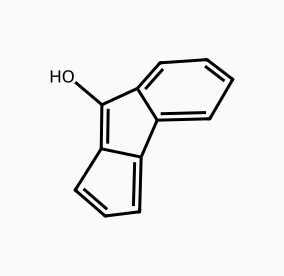 OC1=C2C=CC=C2c2ccccc21